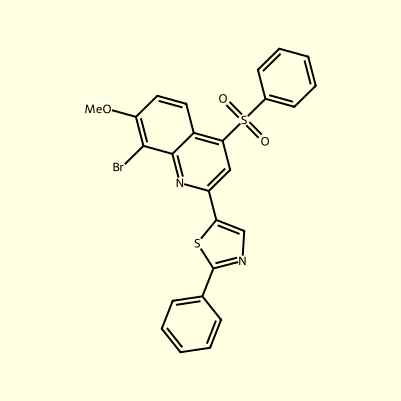 COc1ccc2c(S(=O)(=O)c3ccccc3)cc(-c3cnc(-c4ccccc4)s3)nc2c1Br